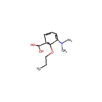 CCCOc1c(B(O)O)cccc1N(C)C